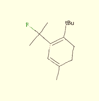 CC1=CC(C(C)(C)F)=C(C(C)(C)C)CC1